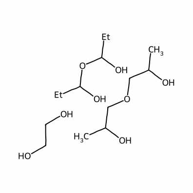 CC(O)COCC(C)O.CCC(O)OC(O)CC.OCCO